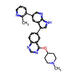 Cc1ncccc1-c1cnc2[nH]cc(-c3ccc4ncnc(OC5CCN(C)CC5)c4c3)c2c1